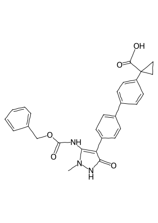 Cn1[nH]c(=O)c(-c2ccc(-c3ccc(C4(C(=O)O)CC4)cc3)cc2)c1NC(=O)OCc1ccccc1